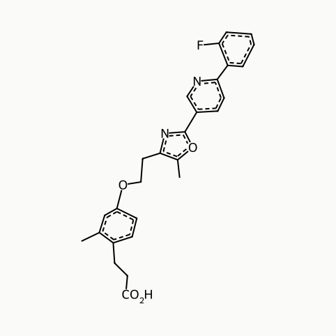 Cc1cc(OCCc2nc(-c3ccc(-c4ccccc4F)nc3)oc2C)ccc1CCC(=O)O